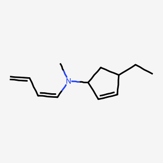 C=C/C=C\N(C)C1C=CC(CC)C1